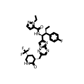 CC[C@@H](c1ccc(F)cc1)[C@H](NC(=O)c1ccnn1CC)c1cn2nc(C[C@H]3C[C@@H](C(F)(F)F)CNC3=O)cnc2n1